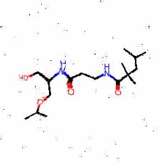 CC(C)CC(C)(C)C(=O)NCCC(=O)NC(CO)COC(C)C